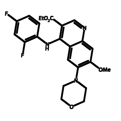 CCOC(=O)c1cnc2cc(OC)c(N3CCOCC3)cc2c1Nc1ccc(F)cc1F